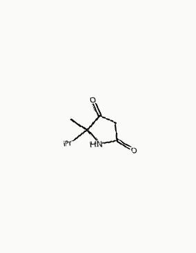 CC(C)C1(C)NC(=O)CC1=O